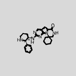 O=C1NCC2(CCCCC2)n2c1cc1cnc(N[C@@H]3CCCN[C@@H]3c3ccccc3)nc12